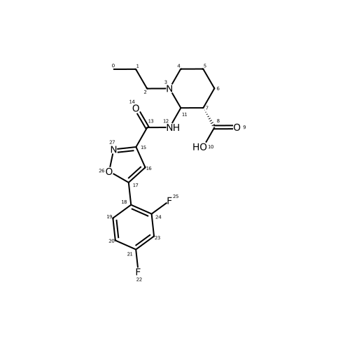 CCCN1CCC[C@H](C(=O)O)C1NC(=O)c1cc(-c2ccc(F)cc2F)on1